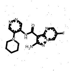 Nc1nn2cc(F)cnc2c1C(=O)Nc1cnncc1N1CCCCC1